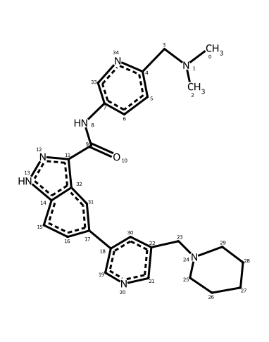 CN(C)Cc1ccc(NC(=O)c2n[nH]c3ccc(-c4cncc(CN5CCCCC5)c4)cc23)cn1